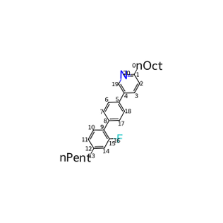 CCCCCCCCc1ccc(-c2ccc(-c3ccc(CCCCC)cc3F)cc2)cn1